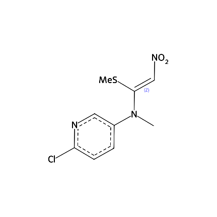 CS/C(=C\[N+](=O)[O-])N(C)c1ccc(Cl)nc1